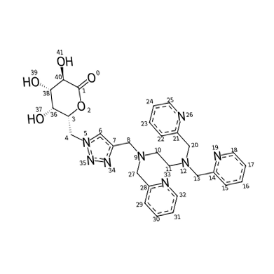 O=C1O[C@H](Cn2cc(CN(CCN(Cc3ccccn3)Cc3ccccn3)Cc3ccccn3)nn2)[C@H](O)[C@H](O)[C@H]1O